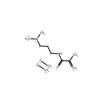 C=C(C)C(=O)NCCCN(C)C.CCl.CCl